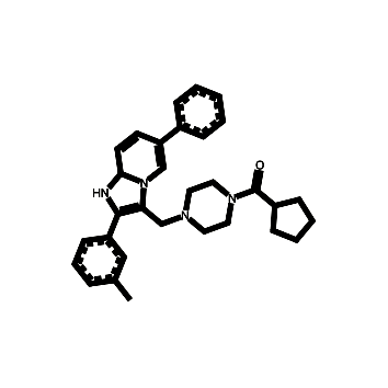 Cc1cccc(C2=C(CN3CCN(C(=O)C4CCCC4)CC3)N3C=C(c4ccccc4)C=CC3N2)c1